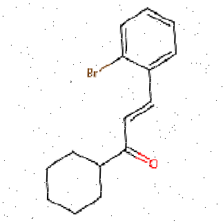 O=C(C=Cc1ccccc1Br)C1CCCCC1